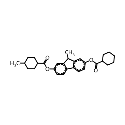 CC1CCC(C(=O)Oc2ccc3c(c2)C(C)c2cc(OC(=O)C4CCCCC4)ccc2-3)CC1